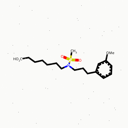 COc1cccc(CCCN(CCCCCCC(=O)O)S(C)(=O)=O)c1